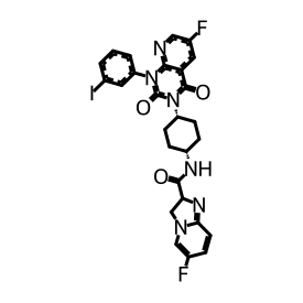 O=C(N[C@H]1CC[C@@H](n2c(=O)c3cc(F)cnc3n(-c3cccc(I)c3)c2=O)CC1)C1CN2C=C(F)C=CC2=N1